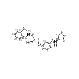 OC(COc1cccc(CNC2CCCC2)c1)CN1CCc2ccccc2C1